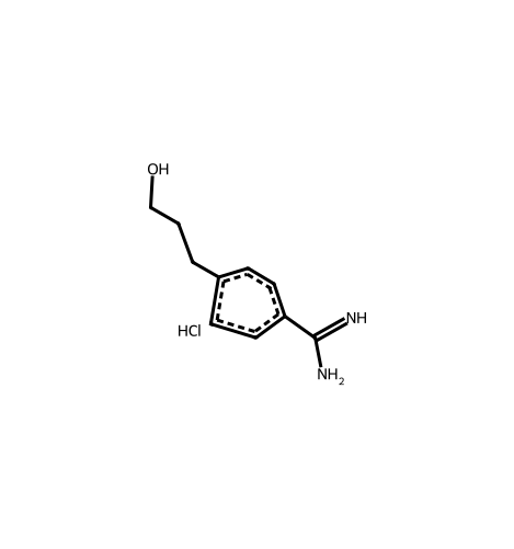 Cl.N=C(N)c1ccc(CCCO)cc1